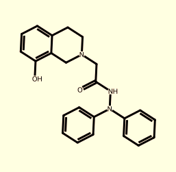 O=C(CN1CCc2cccc(O)c2C1)NN(c1ccccc1)c1ccccc1